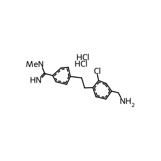 CNC(=N)c1ccc(CCc2ccc(CN)cc2Cl)cc1.Cl.Cl